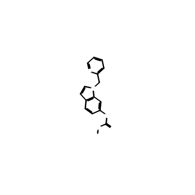 CC(C)(C)OC(=O)Nc1ccc2ccn(Cc3ccccn3)c2c1